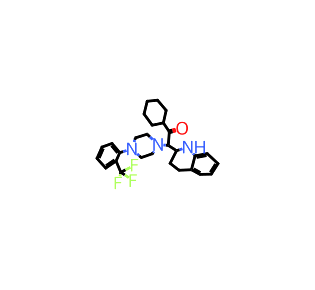 O=C(C1CCCCC1)C(C1CCc2ccccc2N1)N1CCN(c2ccccc2C(F)(F)F)CC1